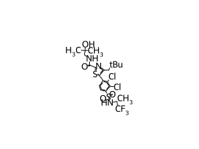 C[C@H](NS(=O)(=O)c1ccc(-c2sc(C(=O)NCC(C)(C)O)nc2CC(C)(C)C)c(Cl)c1Cl)C(F)(F)F